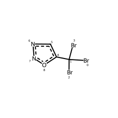 BrC(Br)(Br)c1cnno1